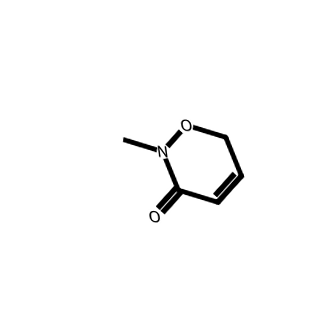 CN1OCC=CC1=O